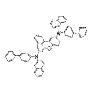 c1ccc(-c2ccc(N(c3ccc4ccccc4c3)c3cc4c5c(cccc5c3)-c3cc(N(c5ccc(-c6ccccc6)cc5)c5cccc6ccccc56)ccc3O4)cc2)cc1